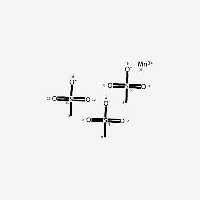 CS(=O)(=O)[O-].CS(=O)(=O)[O-].CS(=O)(=O)[O-].[Mn+3]